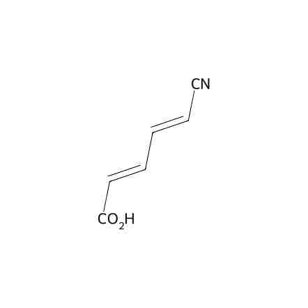 N#C/C=C/C=C/C(=O)O